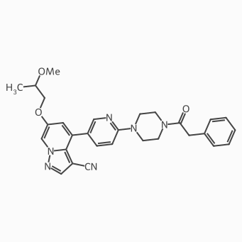 COC(C)COc1cc(-c2ccc(N3CCN(C(=O)Cc4ccccc4)CC3)nc2)c2c(C#N)cnn2c1